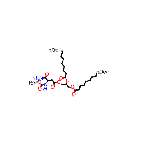 CCCCCCCCCCCCCCCCCC(=O)OCC(COC(=O)CC(NC(=O)OC(C)(C)C)C(N)=O)OC(=O)CCCCCCCCCCCCCCCCC